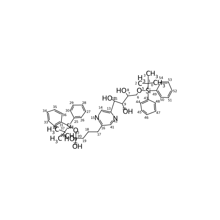 CC(C)(C)[Si](OCC(O)C(O)C(O)c1cnc(CCCC(O)(O)O[Si](c2ccccc2)(c2ccccc2)C(C)(C)C)cn1)(c1ccccc1)c1ccccc1